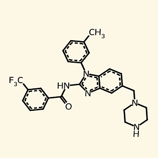 Cc1cccc(-n2c(NC(=O)c3cccc(C(F)(F)F)c3)nc3cc(CN4CCNCC4)ccc32)c1